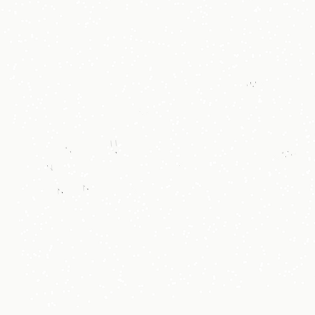 COCc1cc2sc(C(=O)Nc3nnn[nH]3)c(Cl)c2cc1OC